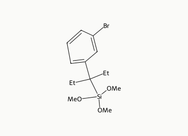 CCC(CC)(c1cccc(Br)c1)[Si](OC)(OC)OC